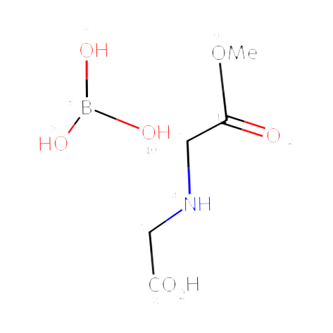 COC(=O)CNCC(=O)O.OB(O)O